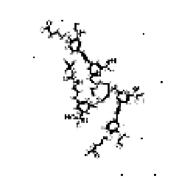 CCN(C)c1cc(C#Cc2cc(CN3CCN(Cc4cc(C#Cc5ccc(OCCCC(=O)O)c(N(C)CC)c5)cc(P(C)(=O)O)n4)CCN(Cc4cc(CCCNC(=O)OC(C)(C)C)cc(P(C)(=O)O)n4)CC3)nc(P(C)O)c2)ccc1OCCCC(=O)O